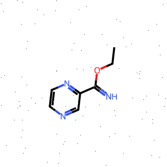 CCOC(=N)c1cnccn1